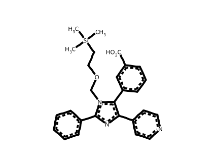 C[Si](C)(C)CCOCn1c(-c2ccccc2)nc(-c2ccncc2)c1-c1cccc(C(=O)O)c1